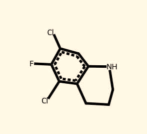 Fc1c(Cl)cc2c(c1Cl)CCCN2